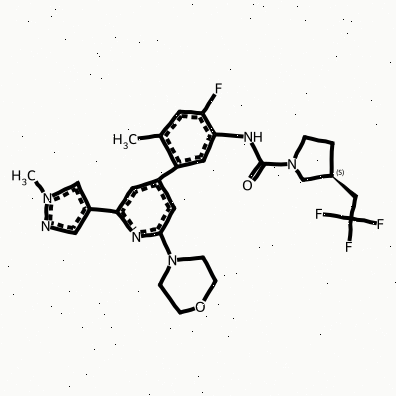 Cc1cc(F)c(NC(=O)N2CC[C@@H](CC(F)(F)F)C2)cc1-c1cc(-c2cnn(C)c2)nc(N2CCOCC2)c1